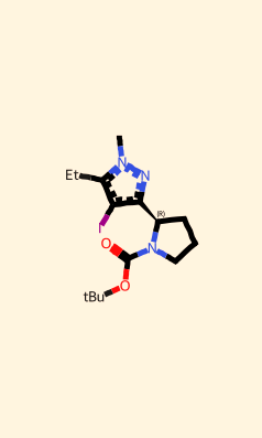 CCc1c(I)c([C@H]2CCCN2C(=O)OC(C)(C)C)nn1C